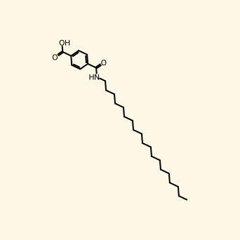 CCCCCCCCCCCCCCCCCCCNC(=O)c1ccc(C(=O)O)cc1